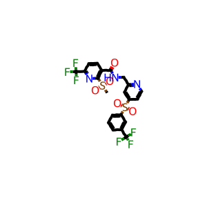 CS(=O)(=O)c1nc(C(F)(F)F)ccc1C(=O)NCc1cc(S(=O)(=O)c2cccc(C(F)(F)F)c2)ccn1